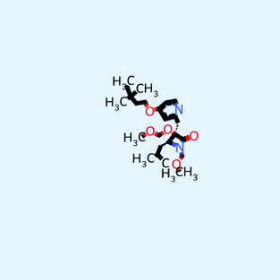 CCC(C)(C)CCOc1ccnc(C[C@]2(OCOC)C(=O)N(COC)[C@H]2CC(C)C)c1